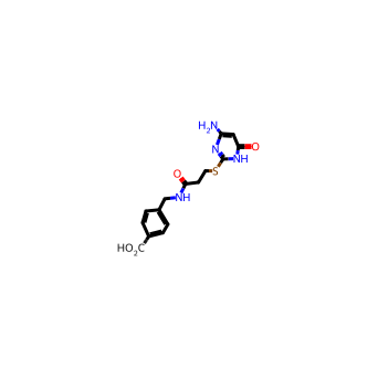 Nc1cc(=O)[nH]c(SCCC(=O)NCc2ccc(C(=O)O)cc2)n1